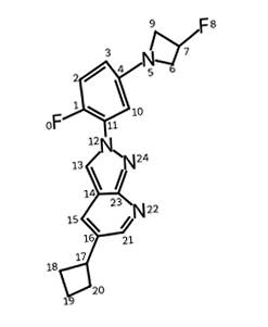 Fc1ccc(N2CC(F)C2)cc1-n1cc2cc(C3CCC3)cnc2n1